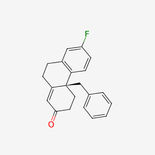 O=C1C=C2CCc3cc(F)ccc3[C@]2(Cc2ccccc2)CC1